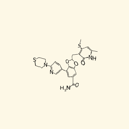 CSc1cc(C)[nH]c(=O)c1CC1Oc2cc(C(N)=O)cc(-c3ccc(N4CCSCC4)nc3)c2O1